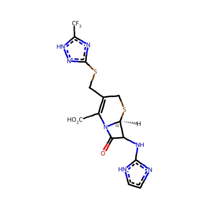 O=C(O)C1=C(CSc2n[nH]c(C(F)(F)F)n2)CS[C@H]2C(Nc3ncc[nH]3)C(=O)N12